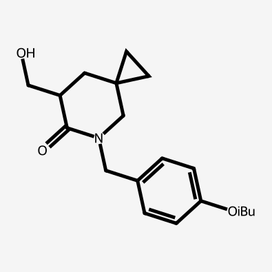 CC(C)COc1ccc(CN2CC3(CC3)CC(CO)C2=O)cc1